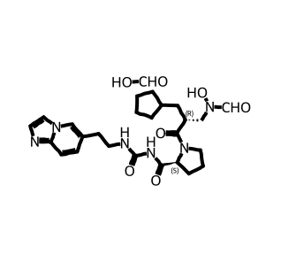 O=CN(O)C[C@@H](CC1CCCC1)C(=O)N1CCC[C@H]1C(=O)NC(=O)NCCc1ccc2nccn2c1.O=CO